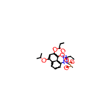 CCC(=O)Oc1cc(OC(C)C)c2cccc(NS(C)(=O)=O)c2c1OC(=O)CC